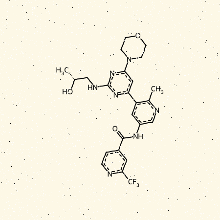 Cc1ncc(NC(=O)c2ccnc(C(F)(F)F)c2)cc1-c1cc(N2CCOCC2)nc(NC[C@@H](C)O)n1